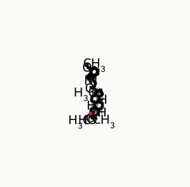 COCC[C@]12CC[C@@](C)(O)C[C@@H]1CC[C@H]1[C@@H]3CC[C@H](C(=O)Cn4ncc5c(OC)cccc54)[C@@]3(C)CC[C@@H]12